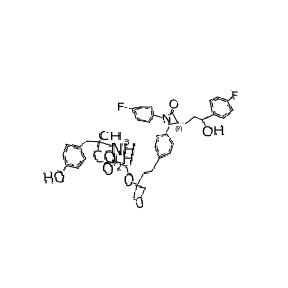 CC(Cc1ccc(O)cc1)(NC(=O)COC1(CCc2ccc(C3[C@@H](CCC(O)c4ccc(F)cc4)C(=O)N3c3ccc(F)cc3)cc2)COC1)C(=O)O